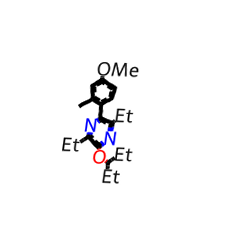 CCc1nc(-c2ccc(OC)cc2C)c(CC)nc1OC(CC)CC